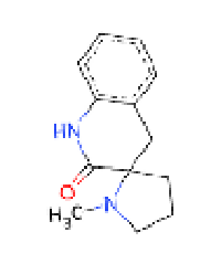 CN1CCCC12Cc1ccccc1NC2=O